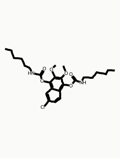 CCCCCCNC(=O)Oc1c(OC)c(OC)c(OC(=O)NCCCCCC)c2cc(Cl)ccc12